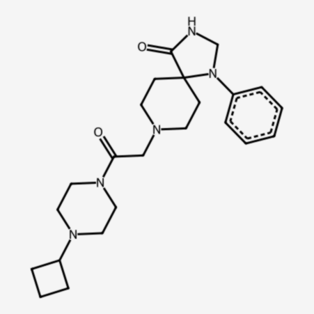 O=C(CN1CCC2(CC1)C(=O)NCN2c1ccccc1)N1CCN(C2CCC2)CC1